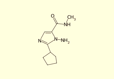 CNC(=O)c1cnc(C2CCCC2)n1N